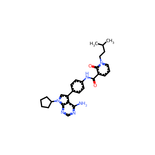 CC(C)CCn1cccc(C(=O)Nc2ccc(-c3cn(C4CCCC4)c4ncnc(N)c34)cc2)c1=O